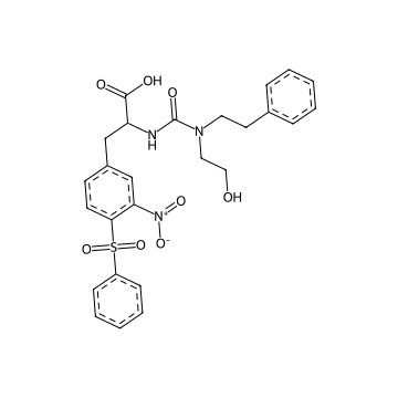 O=C(O)C(Cc1ccc(S(=O)(=O)c2ccccc2)c([N+](=O)[O-])c1)NC(=O)N(CCO)CCc1ccccc1